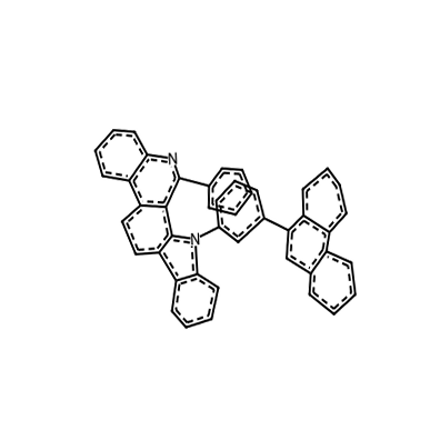 c1ccc(-c2nc3ccccc3c3ccc4c5ccccc5n(-c5cccc(-c6cc7ccccc7c7ccccc67)c5)c4c23)cc1